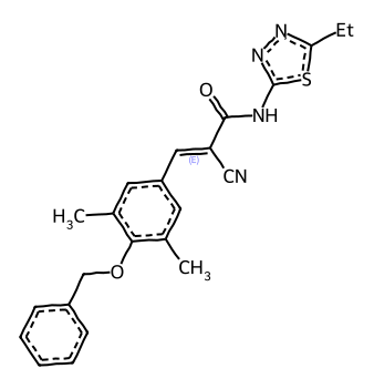 CCc1nnc(NC(=O)/C(C#N)=C/c2cc(C)c(OCc3ccccc3)c(C)c2)s1